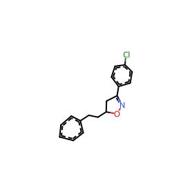 Clc1ccc(C2=NOC(CCc3ccccc3)C2)cc1